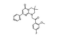 COc1cc(F)ccc1C(=O)CN1CC(C)(C)Cn2c1nc(-c1ccncn1)cc2=O